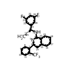 C=C=C(Nc1nc(-c2ccccc2C(F)(F)F)cc2ccccc12)c1cc(F)cc(F)c1